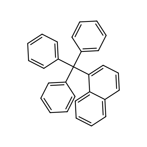 c1ccc(C(c2ccccc2)(c2ccccc2)c2cccc3ccccc23)cc1